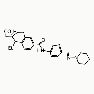 CCC1c2ccc(C(=O)Nc3ccc(C=NN4CCCCC4)cc3)cc2CCC1CC(=O)O